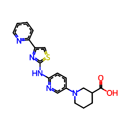 O=C(O)C1CCCN(c2ccc(Nc3nc(-c4ccccn4)cs3)nc2)C1